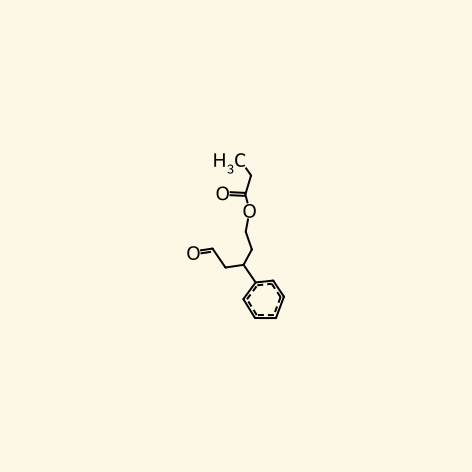 CCC(=O)OCCC(CC=O)c1ccccc1